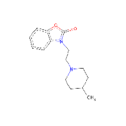 CC1CCN(CCn2c(=O)oc3ccccc32)CC1